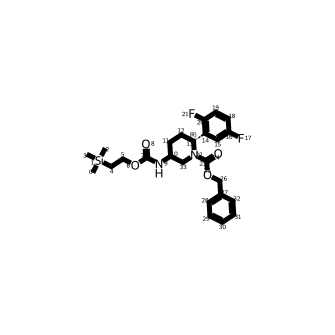 C[Si](C)(C)CCOC(=O)NC1CC[C@H](c2cc(F)ccc2F)N(C(=O)OCc2ccccc2)C1